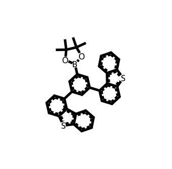 CC1(C)OB(c2cc(-c3cccc4sc5ccccc5c34)cc(-c3cccc4sc5ccccc5c34)c2)OC1(C)C